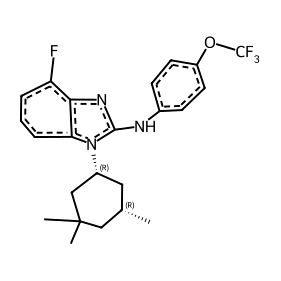 C[C@H]1C[C@@H](n2c(Nc3ccc(OC(F)(F)F)cc3)nc3c(F)cccc32)CC(C)(C)C1